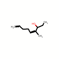 C=CCCC=C(C)C(O)CC